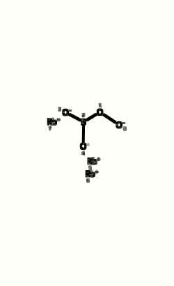 [O-]OB([O-])[O-].[Rb+].[Rb+].[Rb+]